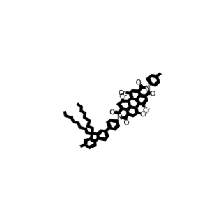 CCCCCCCCC1(CCCCCCCC)c2cc(C)ccc2-c2ccc(-c3ccc(N4C(=O)c5c[c]([Cr])c6c7[c]([Cr])cc8c9c(c[c]([Cr])c(c%10[c]([Cr])cc(c5c6%10)C4=O)c97)C(=O)N(c4ccc(C)cc4)C8=O)cc3)cc21